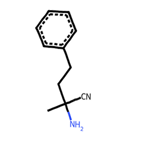 CC(N)(C#N)CCc1ccccc1